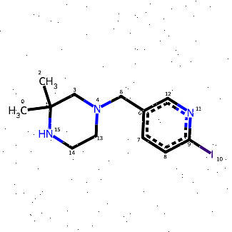 CC1(C)CN(Cc2ccc(I)nc2)CCN1